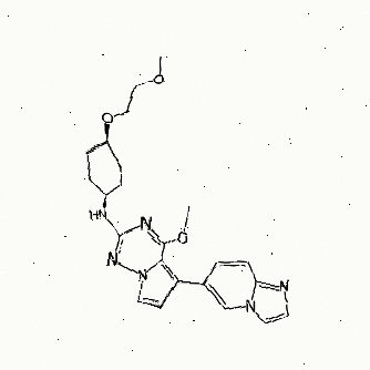 COCCO[C@H]1CC[C@@H](Nc2nc(OC)c3c(-c4ccc5nccn5c4)ccn3n2)CC1